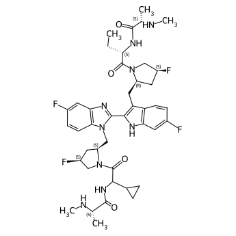 CC[C@H](NC(=O)[C@H](C)NC)C(=O)N1C[C@@H](F)C[C@H]1Cc1c(-c2nc3cc(F)ccc3n2C[C@@H]2C[C@H](F)CN2C(=O)C(NC(=O)[C@H](C)NC)C2CC2)[nH]c2cc(F)ccc12